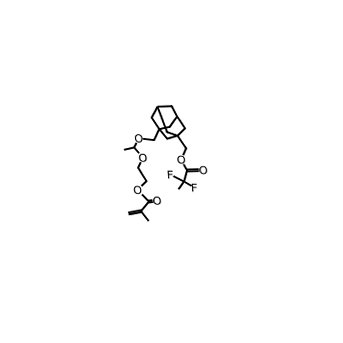 C=C(C)C(=O)OCCOC(C)OCC12CC3CC(CC(COC(=O)C(C)(F)F)(C3)C1)C2